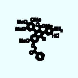 COC(=O)c1c(-c2cc(OC)c(OC)c(OC)c2)c2cc(OC)c(OCC(=O)c3ccccc3)cc2c(=O)n1-c1ccc(N)cc1.Cl